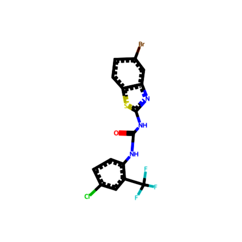 O=C(Nc1nc2cc(Br)ccc2s1)Nc1ccc(Cl)cc1C(F)(F)F